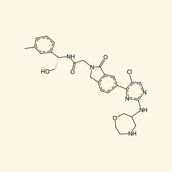 Cc1cccc([C@@H](CO)NC(=O)CN2Cc3ccc(-c4nc(NC5CNCCOC5)ncc4Cl)cc3C2=O)c1